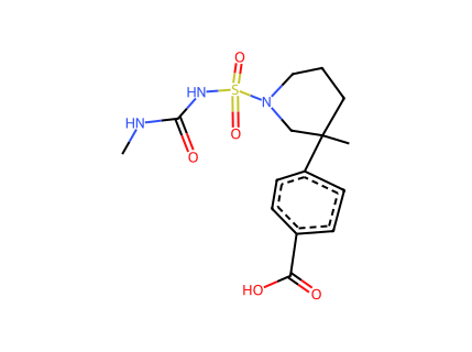 CNC(=O)NS(=O)(=O)N1CCCC(C)(c2ccc(C(=O)O)cc2)C1